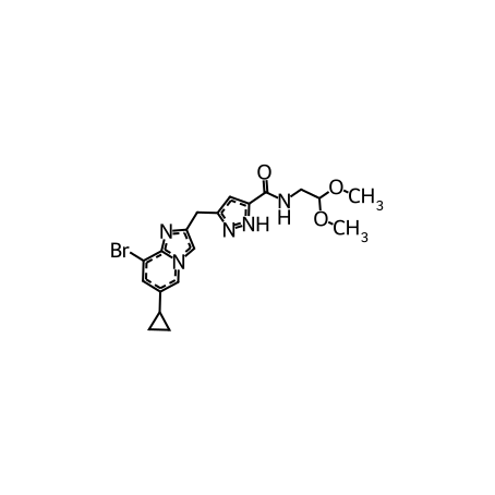 COC(CNC(=O)c1cc(Cc2cn3cc(C4CC4)cc(Br)c3n2)n[nH]1)OC